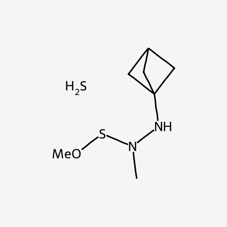 COSN(C)NC12CC(C1)C2.S